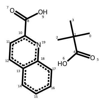 CC(C)(C)C(=O)O.O=C(O)c1ccc2ccccc2n1